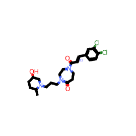 CC1CCC(O)CN1CCCN1CCN(C(=O)/C=C/c2ccc(Cl)c(Cl)c2)CCC1=O